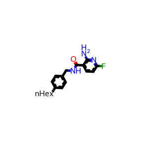 CCCCCCc1ccc(CNC(=O)c2ccc(F)nc2N)cc1